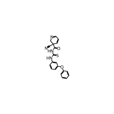 N#CC1(C(=O)NC(=S)Nc2cccc(Oc3ccccc3)c2)C=CC=NC1